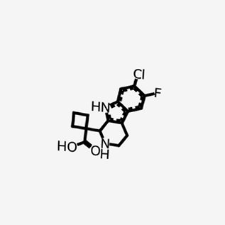 O=C(O)C1(C2NCCc3c2[nH]c2cc(Cl)c(F)cc32)CCC1